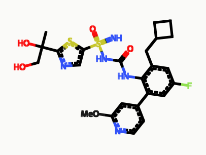 COc1cc(-c2cc(F)cc(CC3CCC3)c2NC(=O)NS(=N)(=O)c2cnc(C(C)(O)CO)s2)ccn1